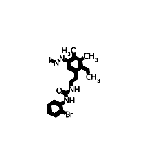 CCc1c(CCNC(=O)Nc2ccccc2Br)cc(N=NI)c(C)c1C